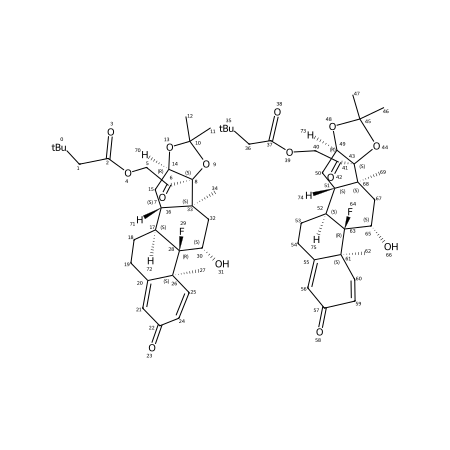 CC(C)(C)CC(=O)OCC(=O)[C@@]12OC(C)(C)O[C@@H]1C[C@H]1[C@@H]3CCC4=CC(=O)C=C[C@]4(C)[C@@]3(F)[C@@H](O)C[C@@]12C.CC(C)(C)CC(=O)OCC(=O)[C@@]12OC(C)(C)O[C@@H]1C[C@H]1[C@@H]3CCC4=CC(=O)C=C[C@]4(C)[C@@]3(F)[C@@H](O)C[C@@]12C